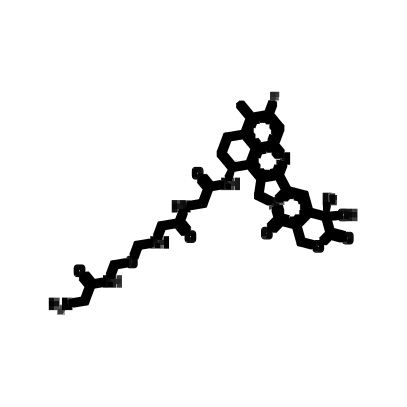 CC[C@@]1(O)C(=O)OCc2c1cc1n(c2=O)Cc2c-1nc1cc(F)c(C)c3c1c2[C@@H](NC(=O)CNC(=O)CNCOCNC(=O)CN)CC3